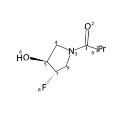 CC(C)C(=O)N1C[C@H](O)[C@@H](F)C1